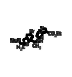 CCOC(=O)c1cnn2ccc(N[C@H](C)c3cc(Br)cc4c3OC(C)(CN=[N+]=[N-])C4)nc12